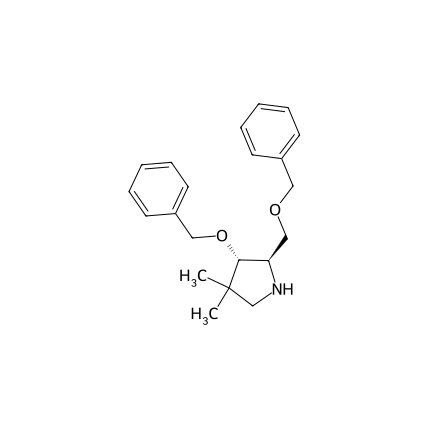 CC1(C)CN[C@H](COCc2ccccc2)[C@H]1OCc1ccccc1